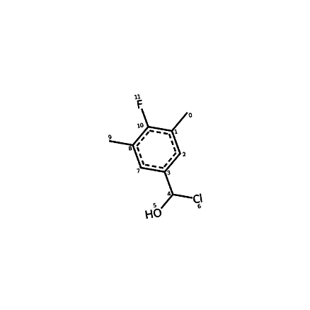 Cc1cc(C(O)Cl)cc(C)c1F